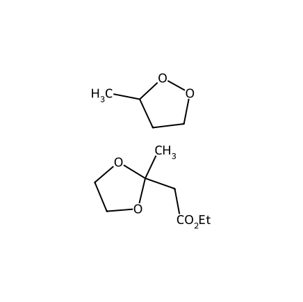 CC1CCOO1.CCOC(=O)CC1(C)OCCO1